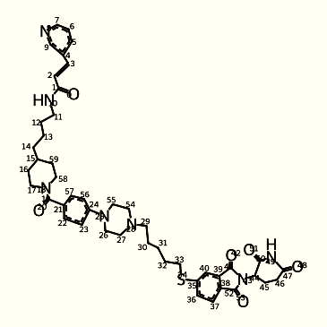 O=C(/C=C/c1cccnc1)NCCCCC1CCN(C(=O)c2ccc(N3CCN(CCCCCSc4ccc5c(c4)C(=O)N(C4CCC(=O)NC4=O)C5=O)CC3)cc2)CC1